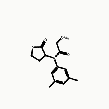 COCC(=O)N(c1cc(C)cc(C)c1)C1CCSC1=O